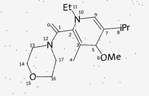 C=C(C1=C(C)C(OC)C(C(C)C)=CN1CC)N1CCOCC1